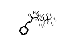 C[C@H](O[Si](C)(C)C(C)(C)C)C(=O)C=Cc1ccccc1